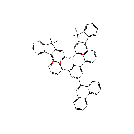 CC1(C)c2ccccc2-c2ccc(N(c3ccc4c(c3)C(C)(C)c3ccccc3-4)c3c(-c4ccccc4)cc(-c4cc5ccccc5c5ccccc45)cc3-c3ccccc3)cc21